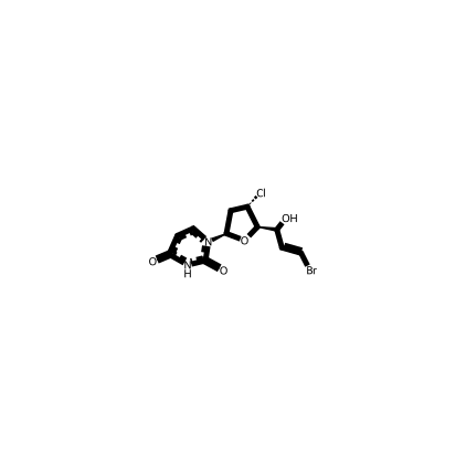 O=c1ccn([C@H]2C[C@H](Cl)[C@@H](C(O)C=CBr)O2)c(=O)[nH]1